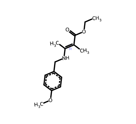 CCOC(=O)/C(C)=C(\C)NCc1ccc(OC)cc1